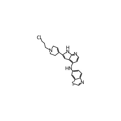 ClCCCN1CC=C(c2cc3c(Nc4ccc5ncsc5c4)ccnc3[nH]2)CC1